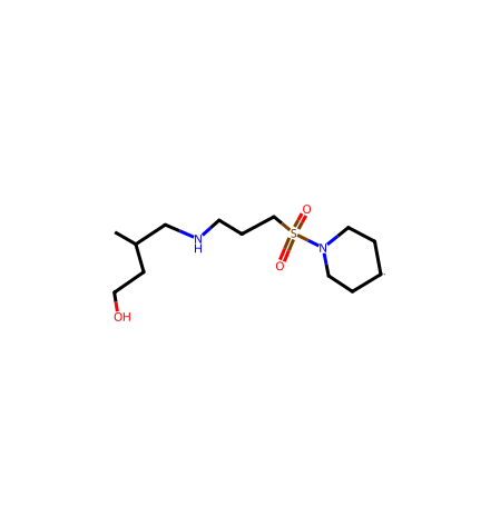 CC(CCO)CNCCCS(=O)(=O)N1CC[CH]CC1